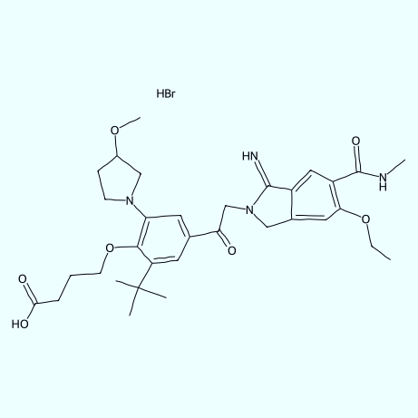 Br.CCOc1cc2c(cc1C(=O)NC)C(=N)N(CC(=O)c1cc(N3CCC(OC)C3)c(OCCCC(=O)O)c(C(C)(C)C)c1)C2